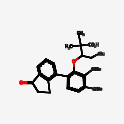 COc1ccc(-c2cccc3c2CCC3=O)c(OC(CC(C)(C)C)C(C)(C)C(=O)O)c1OC